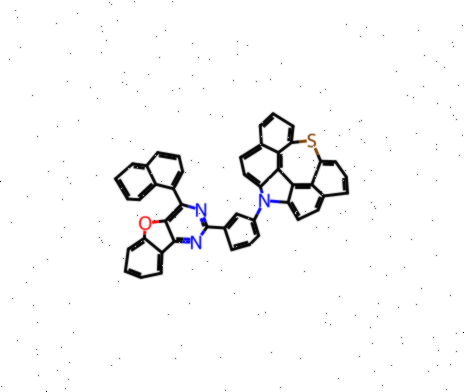 c1cc(-c2nc(-c3cccc4ccccc34)c3oc4ccccc4c3n2)cc(-n2c3ccc4cccc5sc6cccc7ccc2c(c76)c3c45)c1